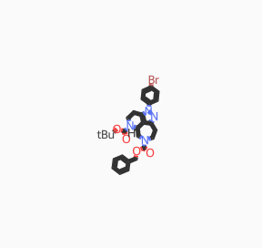 CC(C)(C)OC(=O)N1CCc2c3c(nn2-c2ccc(Br)cc2)CCN(C(=O)OCc2ccccc2)C[C@H]31